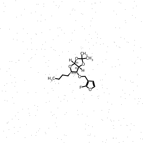 CCCC[C@H]1O[C@@H]2OC(C)(C)O[C@@H]2[C@H]1OCc1ccoc1F